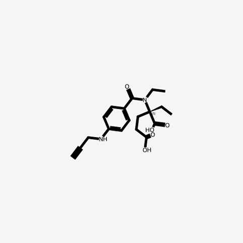 C#CCNc1ccc(C(=O)N(CC)[C@@](CC)(CCC(=O)O)C(=O)O)cc1